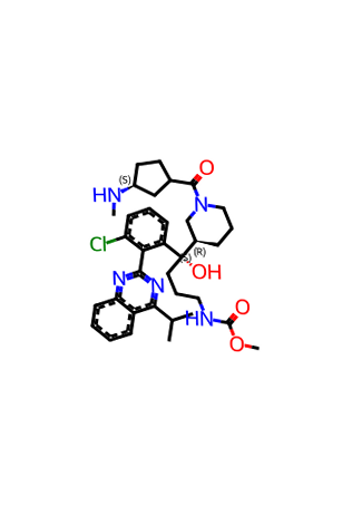 CN[C@H]1CCC(C(=O)N2CCC[C@@H]([C@@](O)(CCCNC(=O)OC)c3cccc(Cl)c3-c3nc(C(C)C)c4ccccc4n3)C2)C1